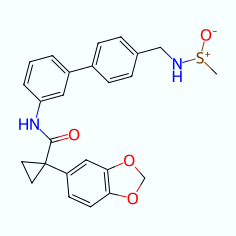 C[S+]([O-])NCc1ccc(-c2cccc(NC(=O)C3(c4ccc5c(c4)OCO5)CC3)c2)cc1